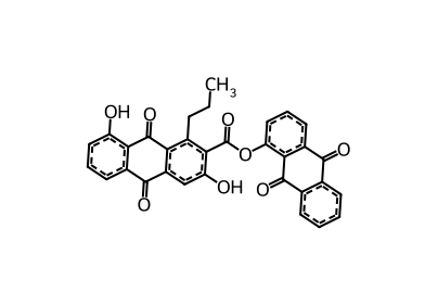 CCCc1c(C(=O)Oc2cccc3c2C(=O)c2ccccc2C3=O)c(O)cc2c1C(=O)c1c(O)cccc1C2=O